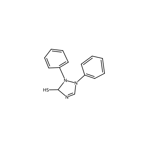 SC1N=CN(c2ccccc2)N1c1ccccc1